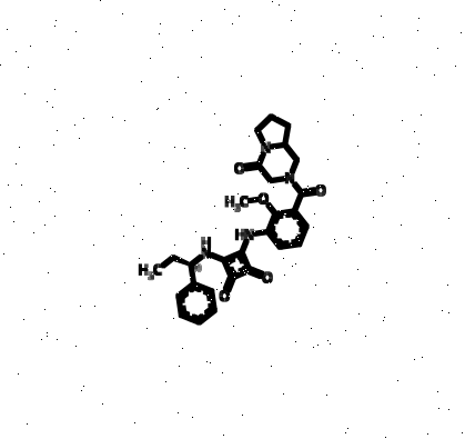 CC[C@@H](Nc1c(Nc2cccc(C(=O)N3CC(=O)N4CCCC4C3)c2OC)c(=O)c1=O)c1ccccc1